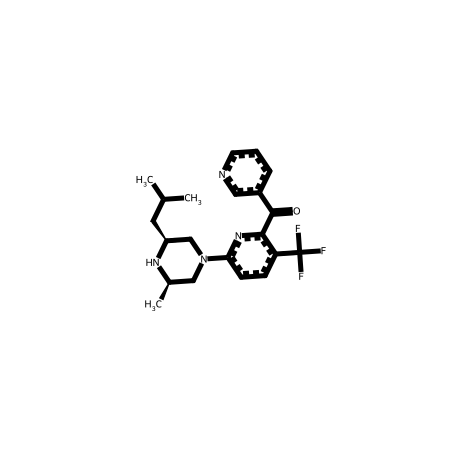 CC(C)C[C@H]1CN(c2ccc(C(F)(F)F)c(C(=O)c3cccnc3)n2)C[C@@H](C)N1